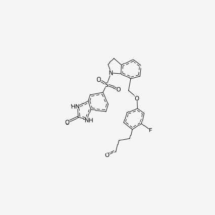 O=CCCc1ccc(OCc2cccc3c2N(S(=O)(=O)c2ccc4[nH]c(=O)[nH]c4c2)CC3)cc1F